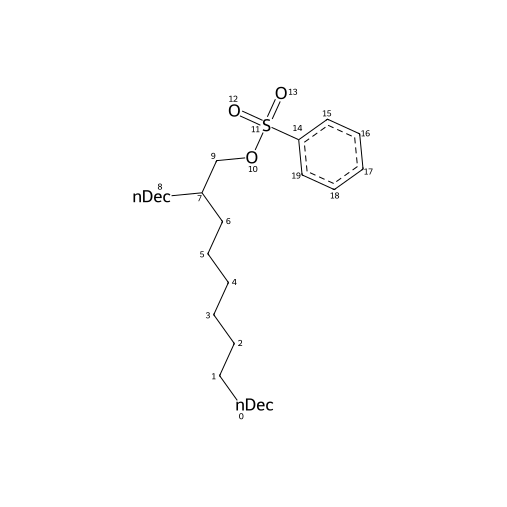 CCCCCCCCCCCCCCCCC(CCCCCCCCCC)COS(=O)(=O)c1ccccc1